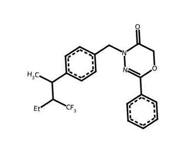 CCC(C(C)c1ccc(CN2N=C(c3ccccc3)OCC2=O)cc1)C(F)(F)F